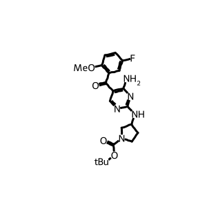 COc1ccc(F)cc1C(=O)c1cnc(NC2CCN(C(=O)OC(C)(C)C)C2)nc1N